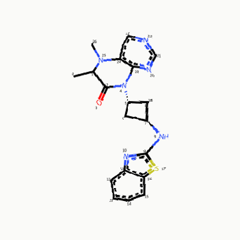 CC1C(=O)N([C@H]2C[C@H](Nc3nc4ccccc4s3)C2)c2ncncc2N1C